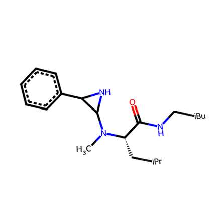 CCC(C)CNC(=O)[C@H](CC(C)C)N(C)C1NC1c1ccccc1